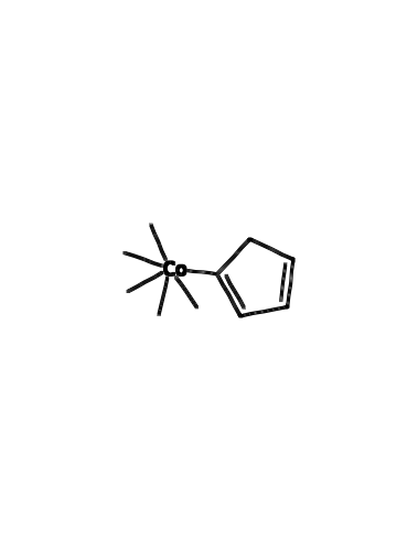 [CH3][Co]([CH3])([CH3])([CH3])([CH3])[C]1=CC=CC1